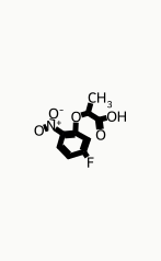 CC(Oc1cc(F)ccc1[N+](=O)[O-])C(=O)O